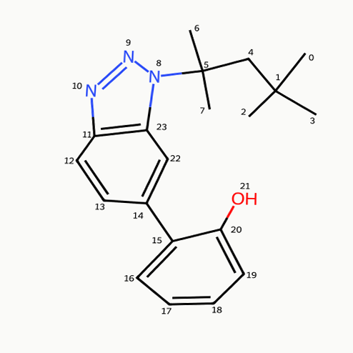 CC(C)(C)CC(C)(C)n1nnc2ccc(-c3ccccc3O)cc21